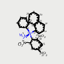 N[N+](c1ccccc1)(c1c([N+](=O)[O-])cc([N+](=O)[O-])cc1[N+](=O)[O-])c1cccc2ccccc12